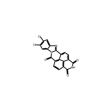 O=C1NC(=O)c2ccc3c4c2c1ccc4c(=O)n1c2cc(Cl)c(Cl)cc2nc31